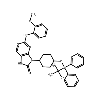 COc1ncccc1Nc1ncc2[nH]c(=O)n(C3CCC(O[Si](c4ccccc4)(c4ccccc4)C(C)(C)C)CC3)c2n1